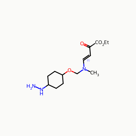 CCOC(=O)C(=O)/C=C/N(C)COC1CCC(NN)CC1